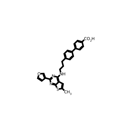 Cc1cc2c(NCCCc3ccc(-c4ccc(C(=O)O)cc4)cc3)nc(-c3ccoc3)nc2s1